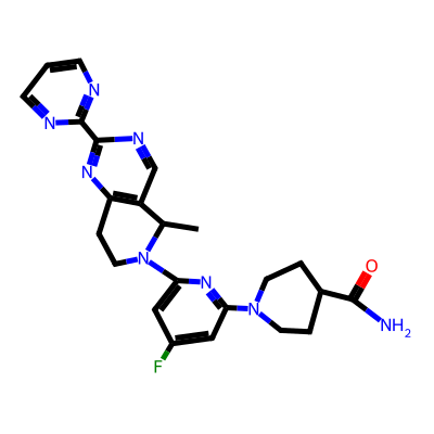 CC1c2cnc(-c3ncccn3)nc2CCN1c1cc(F)cc(N2CCC(C(N)=O)CC2)n1